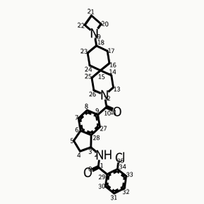 O=C(NC1CCc2ccc(C(=O)N3CCC4(CCC(N5CCC5)CC4)CC3)cc21)c1ccccc1Cl